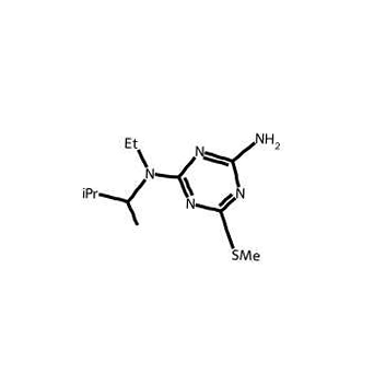 CCN(c1nc(N)nc(SC)n1)C(C)C(C)C